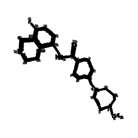 CN1CCN(c2ccc(C(=O)Nc3ccc(F)c4cnccc34)cc2)CC1